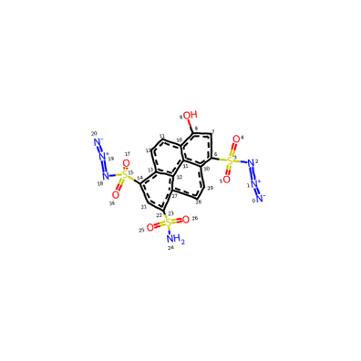 [N-]=[N+]=NS(=O)(=O)c1cc(O)c2ccc3c(S(=O)(=O)N=[N+]=[N-])cc(S(N)(=O)=O)c4ccc1c2c43